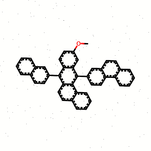 COc1ccc2c(-c3ccc4ccccc4c3)c3ccc4ccccc4c3c(-c3ccc4c(ccc5ccccc54)c3)c2c1